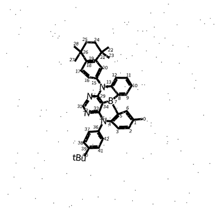 Cc1ccc2c(c1)B1c3ccccc3N(c3ccc4c(c3)C(C)(C)CCC4(C)C)c3ncnc(c31)N2c1ccc(C(C)(C)C)cc1